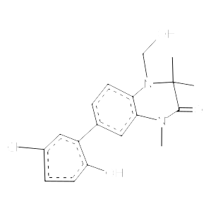 CN1C(=O)C(C)(C)N(CO)c2ccc(-c3cc(Cl)ccc3O)cc21